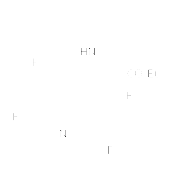 CCOC(=O)C1(Nc2c(F)c(F)nc(F)c2F)CC1